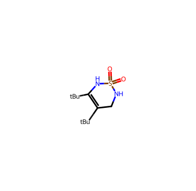 CC(C)(C)C1=C(C(C)(C)C)NS(=O)(=O)NC1